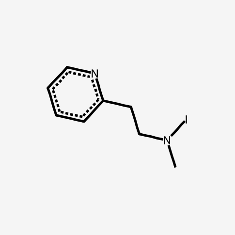 CN(I)CCc1ccccn1